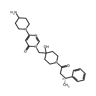 C[C@H](CC(=O)N1CCC(O)(Cn2cnc(N3CCC(N)CC3)cc2=O)CC1)c1ccccc1